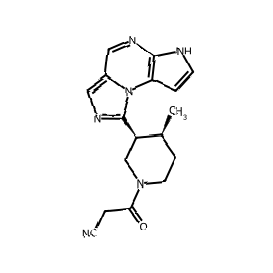 C[C@H]1CCN(C(=O)CC#N)C[C@H]1c1ncc2cnc3[nH]ccc3n12